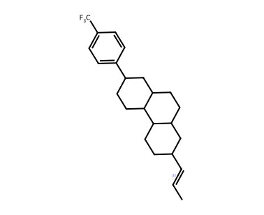 C/C=C/C1CCC2C(CCC3CC(c4ccc(C(F)(F)F)cc4)CCC32)C1